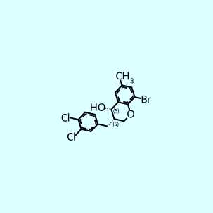 Cc1cc(Br)c2c(c1)[C@@H](O)[C@@H](Cc1ccc(Cl)c(Cl)c1)CO2